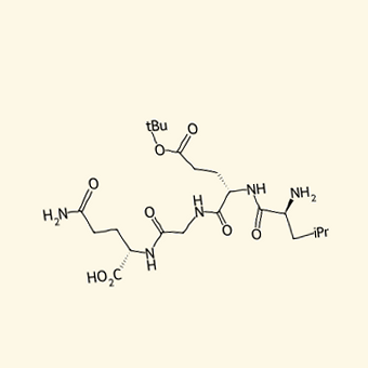 CC(C)C[C@H](N)C(=O)N[C@@H](CCC(=O)OC(C)(C)C)C(=O)NCC(=O)N[C@@H](CCC(N)=O)C(=O)O